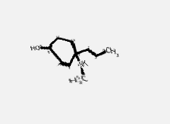 CCCC1(NC)CCC(O)CC1